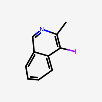 Cc1ncc2ccccc2c1I